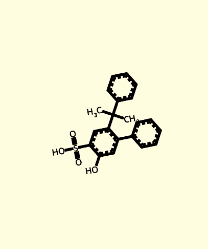 CC(C)(c1ccccc1)c1cc(S(=O)(=O)O)c(O)cc1-c1ccccc1